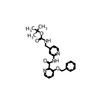 CC(C)(C)OC(=O)NCc1ccnc(NC(=O)c2ncccc2OCc2ccccc2)c1